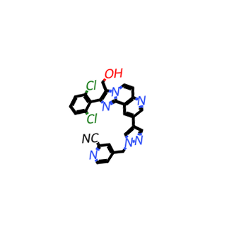 N#Cc1cc(Cn2cc(-c3cnc4ccn5c(CO)c(-c6c(Cl)cccc6Cl)nc5c4c3)cn2)ccn1